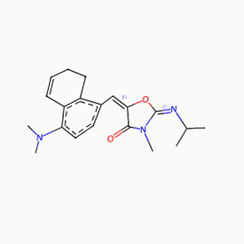 CC(C)/N=C1/O/C(=C/c2ccc(N(C)C)c3c2CCC=C3)C(=O)N1C